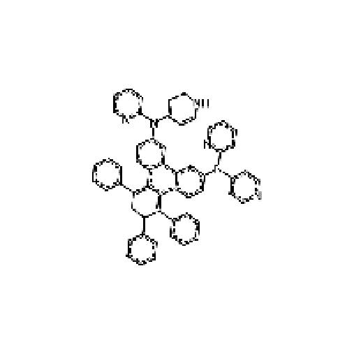 C1=CC(N(c2ccc3c4c(c5ccc(N(c6ccncc6)c6ccccn6)cc5c3c2)=C(c2ccccc2)C(c2ccccc2)CC=4c2ccccc2)c2ccccn2)=CCN1